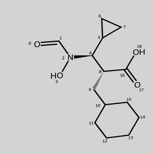 O=CN(O)[C@@H](C1CC1)[C@@H](CC1CCCCC1)C(=O)O